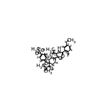 CCc1ccc(F)c(C(=O)NC(C(=O)N2CCC(Oc3ccc(S(C)(=O)=O)cc3)(C(=O)N(C)C)CC2)C(C)C)c1